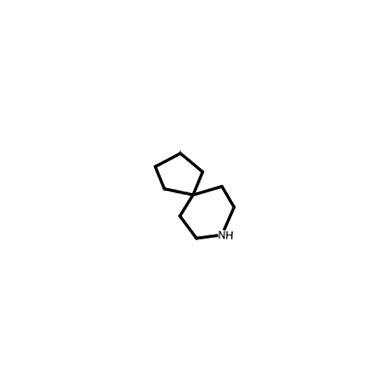 [CH]1CCC2(C1)CCNCC2